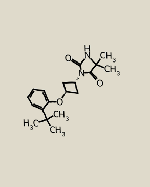 CC1(C)NC(=O)N([C@H]2C[C@H](Oc3ccccc3C(C)(C)C)C2)C1=O